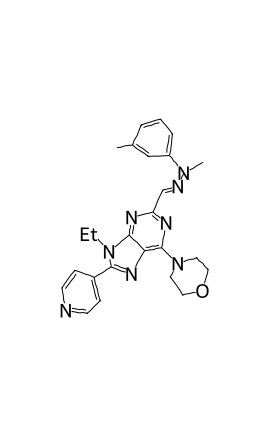 CCn1c(-c2ccncc2)nc2c(N3CCOCC3)nc(C=NN(C)c3cccc(C)c3)nc21